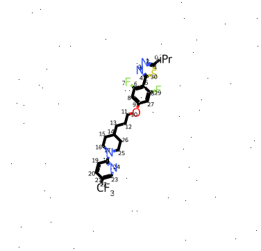 CC(C)c1nnc(-c2c(F)cc(OCCCC3CCN(c4ccc(C(F)(F)F)cn4)CC3)cc2F)s1